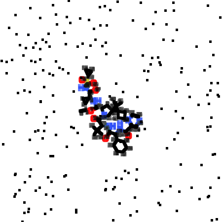 C=C[C@@H]1C[C@]1(NC(=O)[C@@H]1C[C@@]2(CN1C(=O)[C@@H](NC(=O)[C@@H](NC(=O)c1cnccn1)C1CCCCC1)C(C)(C)C)C(C)(C)C21CCC1)C(=O)NS(=O)(=O)C1CC1